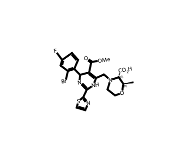 COC(=O)C1=C(CN2CCO[C@H](C)[C@H]2C(=O)O)NC(c2nccs2)=NC1c1ccc(F)cc1Br